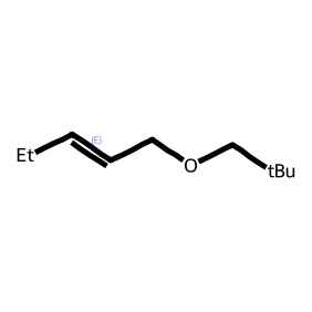 CC/C=C/COCC(C)(C)C